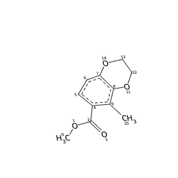 COC(=O)c1ccc2c(c1C)OCCO2